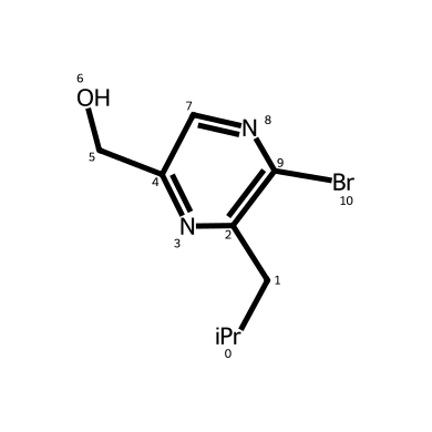 CC(C)Cc1nc(CO)cnc1Br